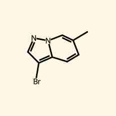 Cc1ccc2c(Br)cnn2c1